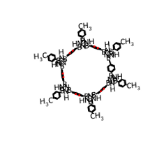 Cc1ccc(B2NB3NB(N2)c2ccc(cc2)B2NB(c4ccc(C)cc4)NB(N2)c2ccc(cc2)B2NB(c4ccc(C)cc4)NB(N2)c2ccc(cc2)B2NB(c4ccc(C)cc4)NB(N2)c2ccc(cc2)B2NB(c4ccc(C)cc4)NB(N2)c2ccc(cc2)B2NB(c4ccc(C)cc4)NB(N2)c2ccc3cc2)cc1